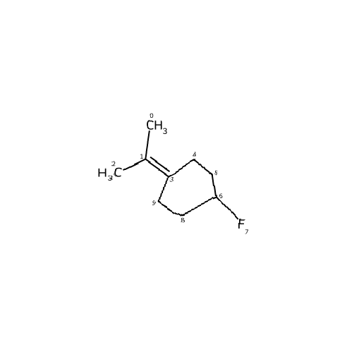 CC(C)=C1CCC(F)CC1